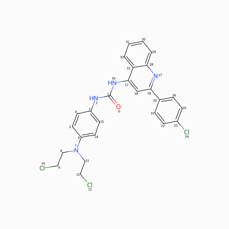 O=C(Nc1ccc(N(CCCl)CCCl)cc1)Nc1cc(-c2ccc(Cl)cc2)nc2ccccc12